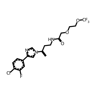 C=C(CCNC(=O)COCCOC(F)(F)F)n1cnc(-c2ccc(Cl)c(F)c2)c1